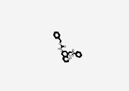 O=C(N[C@@H]1Cc2cccnc2[C@](O)(CS(=O)(=O)c2ccccc2)C1)OCc1ccccc1